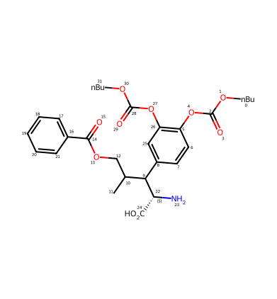 CCCCOC(=O)Oc1ccc(C(C(C)COC(=O)c2ccccc2)[C@H](N)C(=O)O)cc1OC(=O)OCCCC